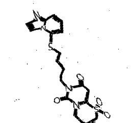 O=c1cc2n(c(=O)n1CCCCSc1cccc3nccn13)CCCS2(=O)=O